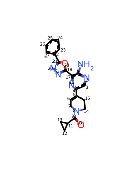 Nc1ncc(C2=CCN(C(=O)C3CC3)CC2)nc1-c1nnc(-c2ccccc2)o1